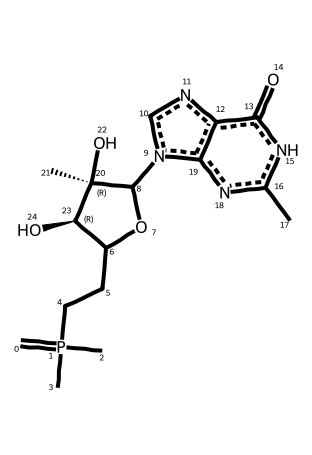 C=P(C)(C)CCC1OC(n2cnc3c(=O)[nH]c(C)nc32)[C@](C)(O)[C@@H]1O